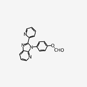 O=COc1ccc(-n2c(-c3ccccn3)nc3cccnc32)cc1